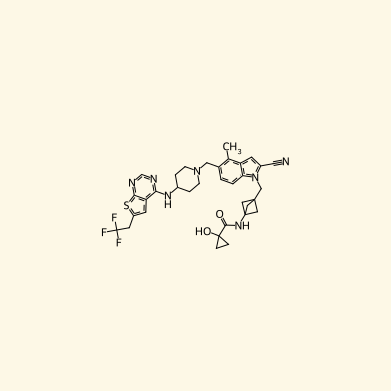 Cc1c(CN2CCC(Nc3ncnc4sc(CC(F)(F)F)cc34)CC2)ccc2c1cc(C#N)n2CC12CC(NC(=O)C3(O)CC3)(C1)C2